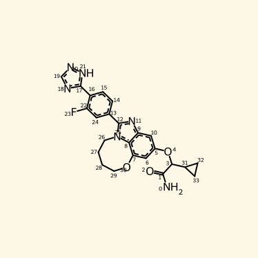 NC(=O)C(Oc1cc2c3c(c1)nc(-c1ccc(-c4ncn[nH]4)c(F)c1)n3CCCCO2)C1CC1